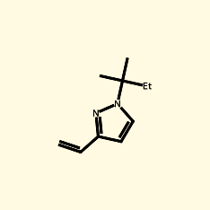 C=Cc1ccn(C(C)(C)CC)n1